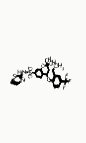 CCc1cc(C(F)(F)F)ccc1OC1CC(C)(C)Oc2cc(S(=O)(=O)Nc3nccs3)ccc21